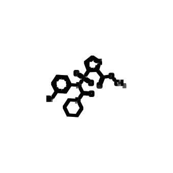 COC(=O)c1sccc1S(=O)(=O)N(C(=O)N1CCCCC1)c1cccc(Br)c1